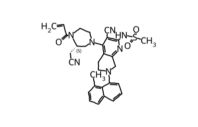 C=CC(=O)N1CCN(c2c(C#N)c(NS(C)(=O)=O)nc3c2CCN(c2cccc4cccc(C)c24)C3)C[C@@H]1CC#N